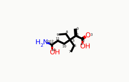 C=C(C(=O)O)C(CC)(CC)CCC(N)O